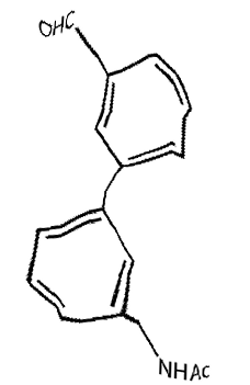 CC(=O)Nc1cccc(-c2cccc(C=O)c2)c1